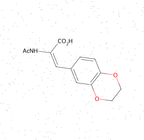 CC(=O)NC(=Cc1ccc2c(c1)OCCO2)C(=O)O